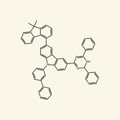 CC1(C)c2ccccc2-c2c(-c3ccc4c(c3)c3cc(C5=NC(c6ccccc6)NC(c6ccccc6)=N5)ccc3n4-c3cccc(-c4ccccc4)c3)cccc21